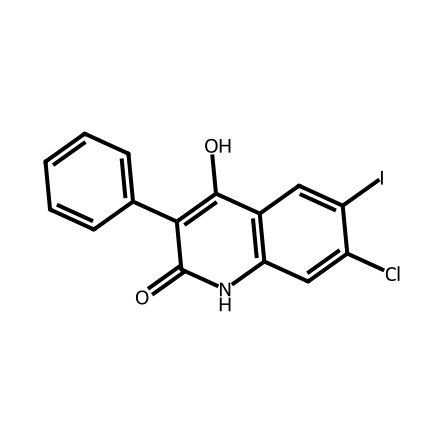 O=c1[nH]c2cc(Cl)c(I)cc2c(O)c1-c1ccccc1